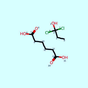 CCC(O)(Cl)Cl.O=C(O)CCCCC(=O)O